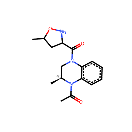 CC(=O)N1c2ccccc2N(C(=O)C2CC(C)ON2)C[C@@H]1C